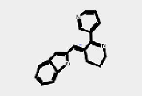 C(=C1/CCCN=C1c1cccnc1)/c1cc2ccccc2o1